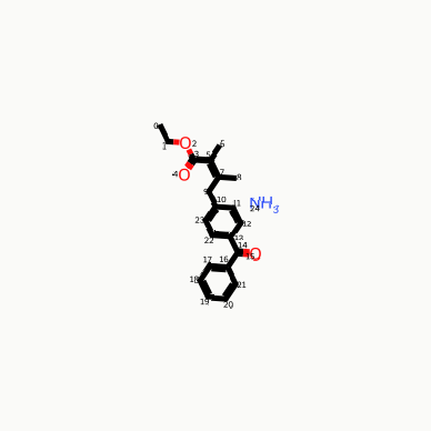 CCOC(=O)C(C)=C(C)Cc1ccc(C(=O)c2ccccc2)cc1.N